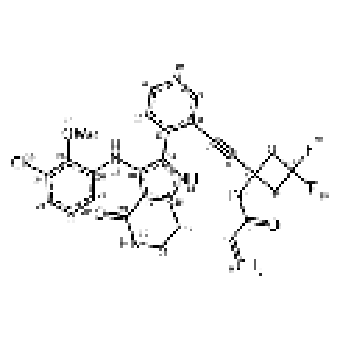 C=CC(=O)NC1(C#Cc2cnccc2-c2[nH]c3c(c2Nc2cccc(Cl)c2OC)C(=O)NCC3)CC(F)(F)C1